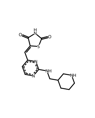 O=C1NC(=O)C(=Cc2ccnc(NCC3CCCNC3)n2)S1